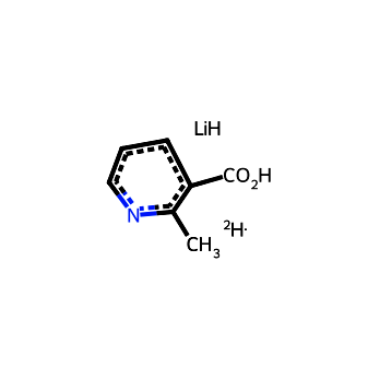 Cc1ncccc1C(=O)O.[2H].[LiH]